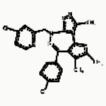 Cc1sc2c(c1C)C(c1ccc(Cl)cc1)=NN(Cc1cc(Cl)ccn1)c1nnc(C)n1-2